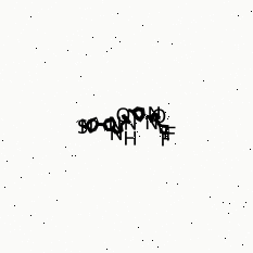 CSN1CCC(C2=CC3=NCC(C(=O)Nc4cc(-c5noc(C6CC(F)(F)C6)n5)ccc4C)N3C=C2)CC1